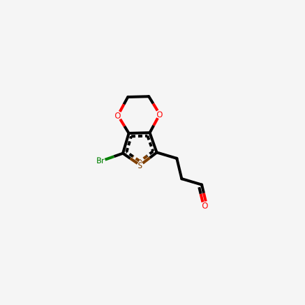 O=CCCc1sc(Br)c2c1OCCO2